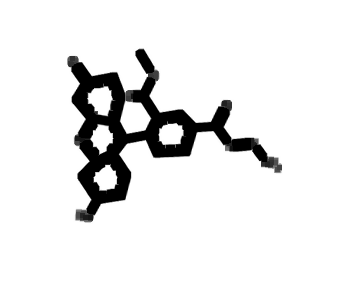 COC(=O)c1cc(C(=O)N=NN)ccc1-c1c2ccc(=O)cc-2oc2cc(O)ccc12